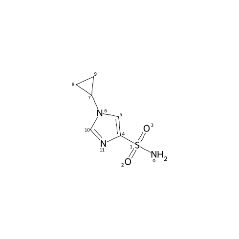 NS(=O)(=O)c1cn(C2CC2)cn1